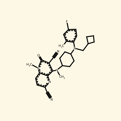 Cc1cc(F)ccc1N(CC1CCC1)C1CCC(N(C)c2c(C#N)c(=O)n(C)c3ccc(C#N)nc23)CC1